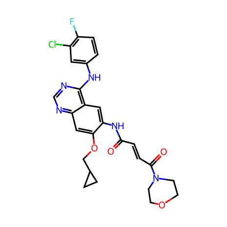 O=C(C=CC(=O)N1CCOCC1)Nc1cc2c(Nc3ccc(F)c(Cl)c3)ncnc2cc1OCC1CC1